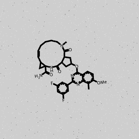 COc1ccc2c(OC3CC4C(=O)NC5(C(N)=O)CC5C=CCCCCN(C)C(=O)C4C3)nc(-c3cc(F)cc(F)c3)nc2c1C